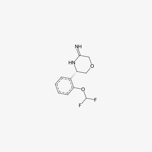 N=C1COC[C@H](c2ccccc2OC(F)F)N1